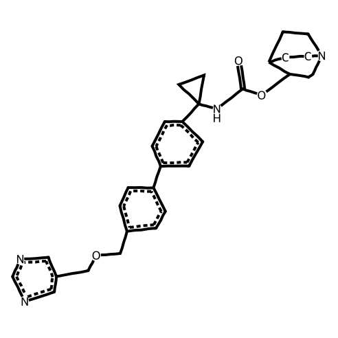 O=C(NC1(c2ccc(-c3ccc(COCc4cncnc4)cc3)cc2)CC1)OC1CCN2CCC1CC2